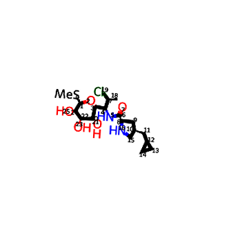 CS[C@H]1OC([C@H](NC(=O)[C@@H]2C[C@@H](CC3CC3)CN2)[C@H](C)Cl)[C@H](O)[C@H](O)[C@H]1O